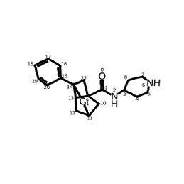 O=C(NC1CCNCC1)C12CC3CC1C(c1ccccc1)(C3)C2